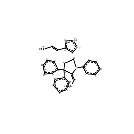 CCOC(=O)/C=C1/P(c2ccccc2)CCC1(c1ccccc1)c1ccccc1.O=C(O)/C=C/c1cn[nH]c1